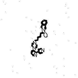 O=C(CCCCCN1CCN(c2cccnc2-c2ccncc2)CC1)N1Cc2ccccc2C1